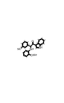 COc1ccccc1NC(C(=O)c1c[nH]c2ccccc12)c1cccc(C#N)c1